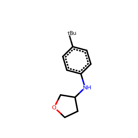 CC(C)(C)c1ccc(NC2CCOC2)cc1